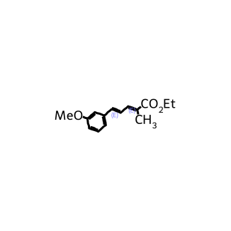 CCOC(=O)/C(C)=C/C=C/c1cccc(OC)c1